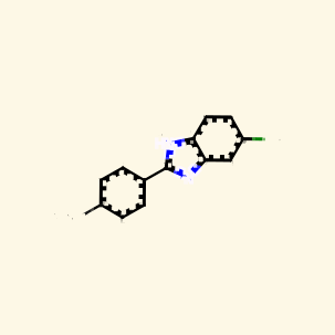 CC(=O)Nc1ccc(-c2nc3cc(Cl)ccc3[nH]2)cc1